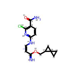 N=C(/C=C\Nc1ccc(C(N)=O)c(Cl)n1)OCC1CC12CC2